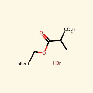 Br.CCCCCCOC(=O)C(C)C(=O)O